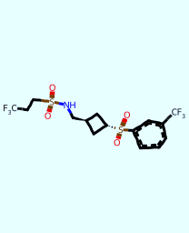 O=S(=O)(CCC(F)(F)F)NC[C@H]1C[C@H](S(=O)(=O)c2cccc(C(F)(F)F)c2)C1